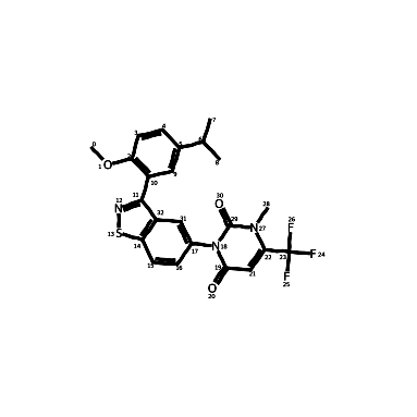 COc1ccc(C(C)C)cc1-c1nsc2ccc(-n3c(=O)cc(C(F)(F)F)n(C)c3=O)cc12